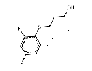 OCCCSc1ccc(F)cc1F